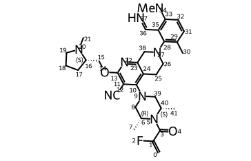 C=C(F)C(=O)N1[C@H](C)CN(c2c(C#N)c(OC[C@@H]3CCCN3C)nc3c2CCN(c2c(C)ccc(NC)c2C=N)C3)C[C@@H]1C